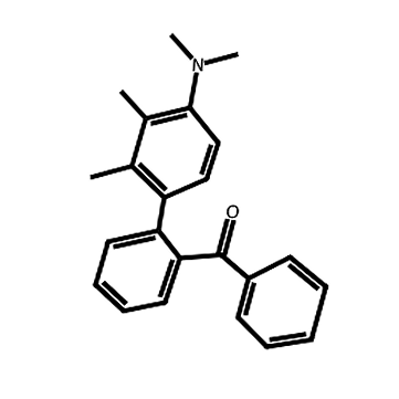 Cc1c(-c2ccccc2C(=O)c2ccccc2)ccc(N(C)C)c1C